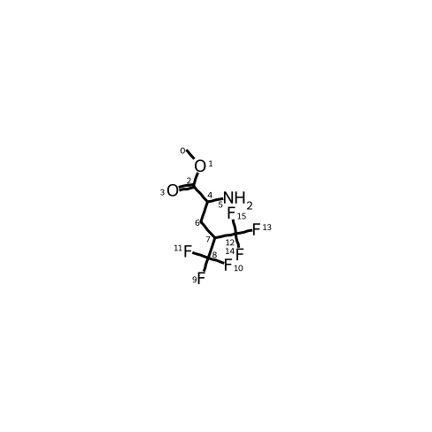 COC(=O)C(N)CC(C(F)(F)F)C(F)(F)F